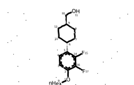 CCCCCCOc1ccc([C@H]2CC[C@H](CO)CC2)c(F)c1F